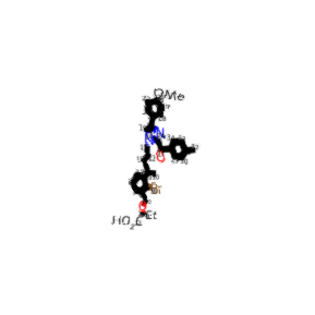 CC[C@@H](OCc1cccc(C(C)CCCn2cc(-c3ccc(OC)cc3)nc2C(=O)c2ccc(C)cc2)c1Br)C(=O)O